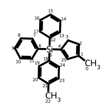 CC1=CCC([Si](c2ccccc2)(c2ccccc2)c2ccc(C)cc2)=C1